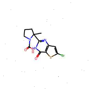 CC1(c2nc3cc(Br)sc3c(=O)[nH]2)CCCN1C(=O)O